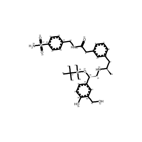 C[C@H](Cc1cccc(CC(=O)NCc2ccc(S(N)(=O)=O)cc2)c1)NC[C@@H](O[Si](C)(C)C(C)(C)C)c1ccc(O)c(CO)c1